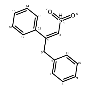 O=[SH](=O)C=C(Cc1ccccc1)c1ccccc1